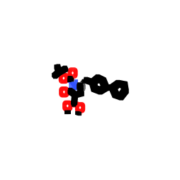 COC(OC)C1C[C@@H](Cc2ccc(-c3ccccc3)cc2)N(C(=O)OC(C)(C)C)C1=O